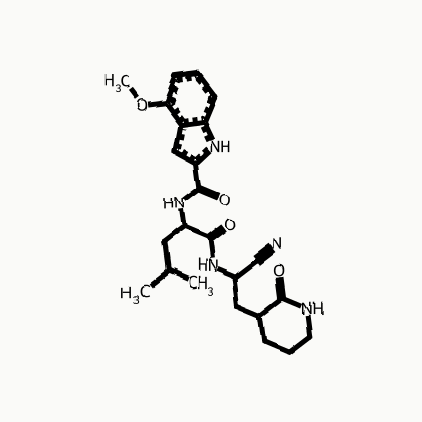 COc1cccc2[nH]c(C(=O)NC(CC(C)C)C(=O)NC(C#N)CC3CCCNC3=O)cc12